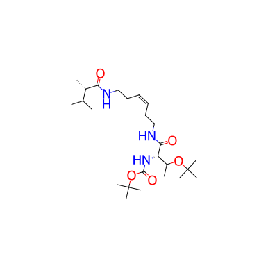 CC(C)[C@H](C)C(=O)NCC/C=C\CCNC(=O)[C@@H](NC(=O)OC(C)(C)C)C(C)OC(C)(C)C